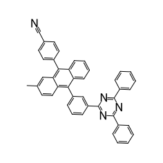 Cc1ccc2c(-c3cccc(-c4nc(-c5ccccc5)nc(-c5ccccc5)n4)c3)c3ccccc3c(-c3ccc(C#N)cc3)c2c1